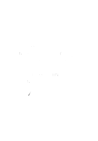 COc1c(C(=O)N[C@H](C)c2cccc(Nc3ccccc3C(F)(F)F)c2)ccn(C)c1=O